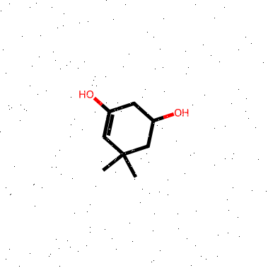 CC1(C)C=C(O)CC(O)C1